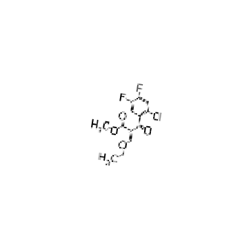 CCOC=C(C(=O)OC)C(=O)c1cc(F)c(F)cc1Cl